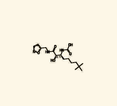 CC(C)(C)CCCC[C@H](NC(=O)O)[C@@H](O)C(=O)NCc1ccno1